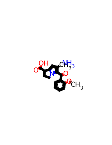 COc1ccccc1C(=O)c1c(C)cc2n1CCC2C(=O)O.N